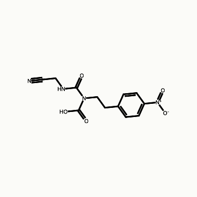 N#CCNC(=O)N(CCc1ccc([N+](=O)[O-])cc1)C(=O)O